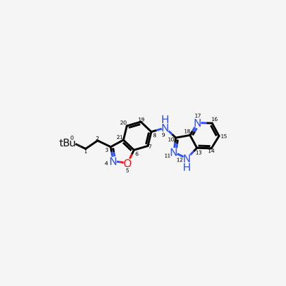 CC(C)(C)CCc1noc2cc(Nc3n[nH]c4cccnc34)ccc12